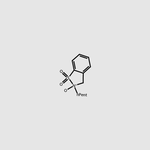 CCCCC[N+]1([O-])Cc2ccccc2S1(=O)=O